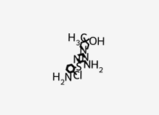 CC1(CO)CCN(c2cnc(Sc3cccc(N)c3Cl)c(N)n2)CC1